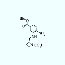 CC(C)(C)OC(=O)c1ccc(N)c(NC[C@@H]2CCN2C(=O)O)c1